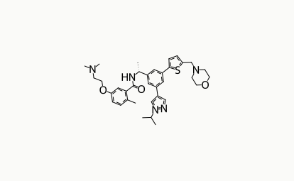 Cc1ccc(OCCN(C)C)cc1C(=O)N[C@H](C)c1cc(-c2cnn(C(C)C)c2)cc(-c2ccc(CN3CCOCC3)s2)c1